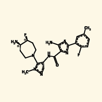 Cc1ccc(F)c(-c2nc(C(=O)Nc3cnn(C)c3N3CC[C@@H](N)[C@@H](F)CC3)c(N)s2)c1